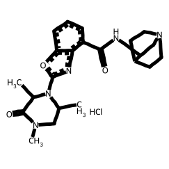 CC1CN(C)C(=O)C(C)N1c1nc2c(C(=O)NC3CN4CCC3CC4)cccc2o1.Cl